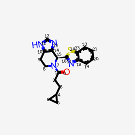 O=C(CCC1CC1)N1CCc2[nH]cnc2[C@H]1c1nc2ccccc2s1